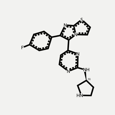 Fc1ccc(-c2nc3sccn3c2-c2ccnc(N[C@H]3CCNC3)n2)cc1